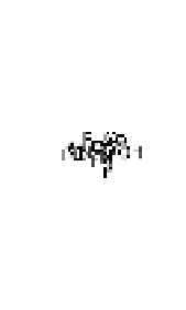 O=C(O)c1cn(CCF)c2c(F)c(N3CCNC4(CC4)C3)c(F)cc2c1=O